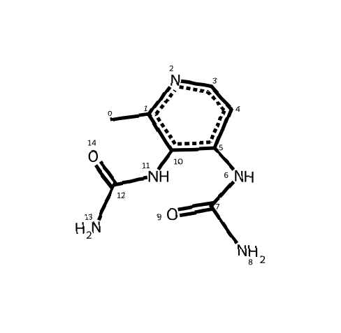 Cc1nccc(NC(N)=O)c1NC(N)=O